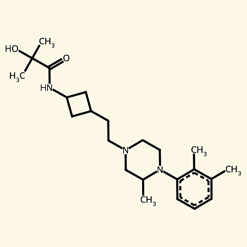 Cc1cccc(N2CCN(CCC3CC(NC(=O)C(C)(C)O)C3)CC2C)c1C